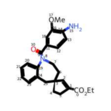 CCOC(=O)C1=C[C@@]2(CC1)CCN(C(=O)c1ccc(N)c(OC)c1)c1ccccc1C2